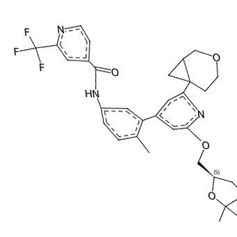 Cc1ccc(NC(=O)c2ccnc(C(F)(F)F)c2)cc1-c1cc(OC[C@H]2COC(C)(C)O2)nc(C23CCOCC2C3)c1